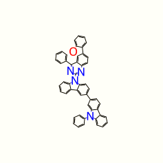 c1ccc(-c2nc(-n3c4ccccc4c4cc(-c5ccc6c7ccccc7n(-c7ccccc7)c6c5)ccc43)nc3ccc4c5ccccc5oc4c23)cc1